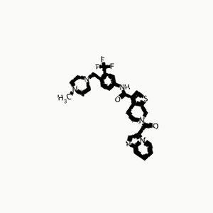 CN1CCN(Cc2ccc(NC(=O)c3csc4c3CCN(C(=O)c3cnc5ccccn35)C4)cc2C(F)(F)F)CC1